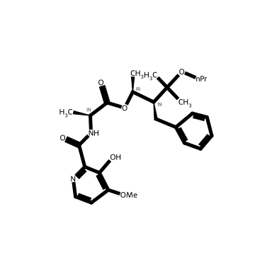 CCCOC(C)(C)[C@@H](Cc1ccccc1)[C@H](C)OC(=O)[C@H](C)NC(=O)c1nccc(OC)c1O